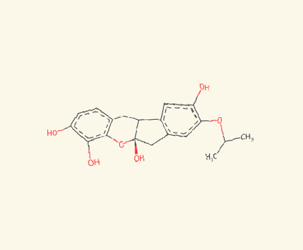 CC(C)Oc1cc2c(cc1O)C1Cc3ccc(O)c(O)c3O[C@@]1(O)C2